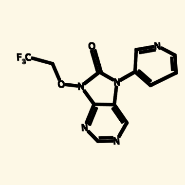 O=c1n(OCC(F)(F)F)c2ncncc2n1-c1cccnc1